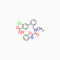 CN(Cc1ccccc1-c1ccc(C(=O)O)c(Cl)c1)C(=O)c1nc2ccccc2o1